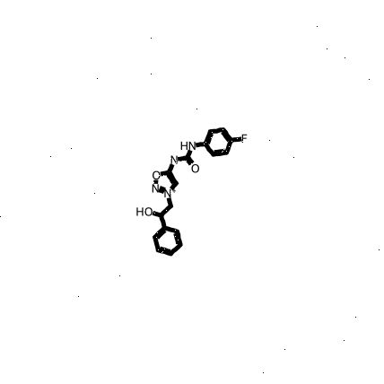 O=C([N-]c1c[n+](CC(O)c2ccccc2)no1)Nc1ccc(F)cc1